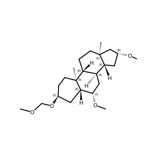 COCO[C@H]1CC[C@@]2(C)[C@@H]3CC[C@@]4(C)C[C@H](OC)C[C@@H]4[C@H]3C[C@H](OC)[C@@H]2C1